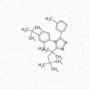 Cc1cccc(-c2nnc(C(C)(C)CC(C)(C)C)n2-c2ccc(C(C)(C)C)cc2C)c1